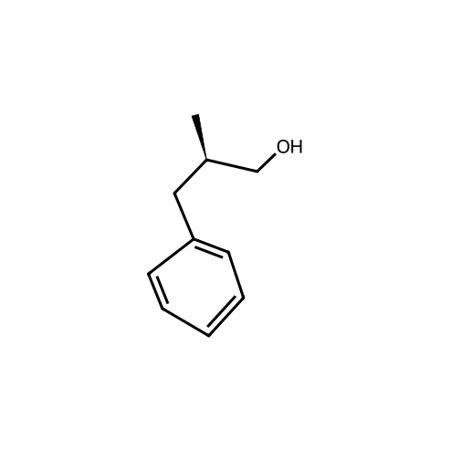 C[C@@H](CO)Cc1ccccc1